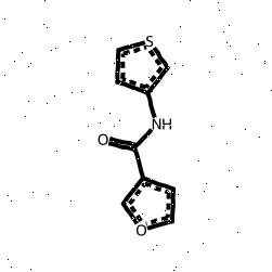 O=C(Nc1ccsc1)c1ccoc1